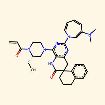 C=CC(=O)N1CCN(c2nc(N3C=CC=CC(N(C)C)=C3)nc3c2NC(=O)C2(CCCc4ccccc42)C3)C[C@@H]1CC#N